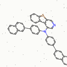 c1ccc2cc(-c3ccc(N(c4ccc(-c5ccc6ccccc6c5)cc4)c4cncc5sc6ccccc6c45)cc3)ccc2c1